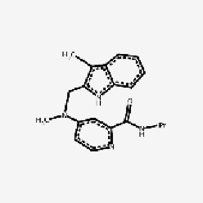 Cc1c(CN(C)c2ccnc(C(=O)NC(C)C)c2)[nH]c2ccccc12